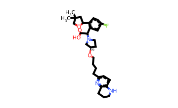 CC1(C)COC(c2ccc(F)cc2C(C(=O)O)N2CC[C@@H](OCCCCc3ccc4c(n3)CCCN4)C2)C1